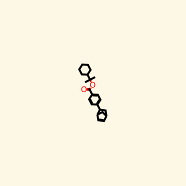 CC(C)(OC(=O)c1ccc(C2CC3C=CC2C3)cc1)C1CCCCC1